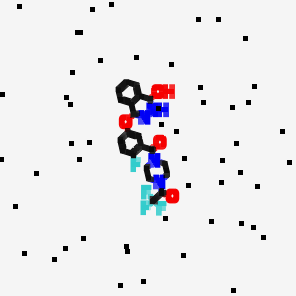 O=C(c1cc(OC2=NNC(O)c3ccccc32)ccc1F)N1CCN(C(=O)C(F)(F)F)CC1